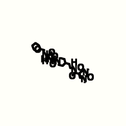 Cn1cc(C(=O)NCCC2CCN(S(=O)(=O)NC(=O)NCC3CC4CCC3O4)CC2)c(=O)n(C)c1=O